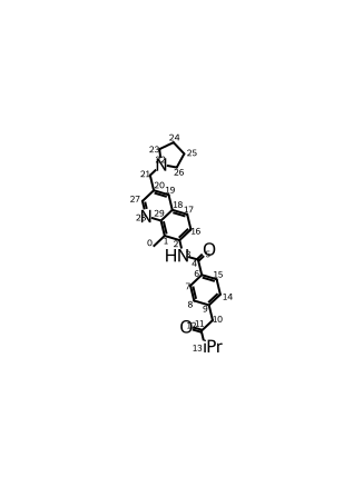 Cc1c(NC(=O)c2ccc(CC(=O)C(C)C)cc2)ccc2cc(CN3CCCC3)cnc12